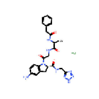 CCC(C)C(NC(=O)Cc1ccccc1)C(=O)NCC(=O)N1c2ccc(N)cc2C[C@H]1C(=O)NCc1nn[nH]n1.Cl